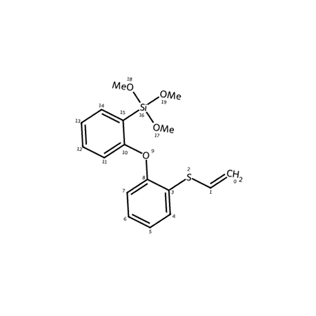 C=CSc1ccccc1Oc1ccccc1[Si](OC)(OC)OC